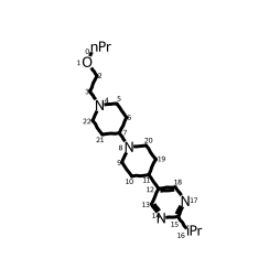 CCCOCCN1CCC(N2CCC(c3cnc(C(C)C)nc3)CC2)CC1